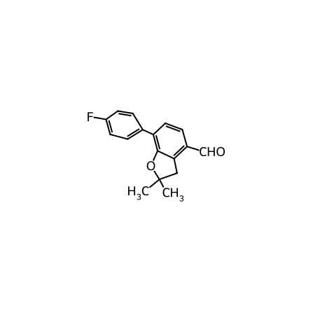 CC1(C)Cc2c(C=O)ccc(-c3ccc(F)cc3)c2O1